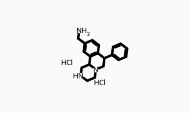 Cl.Cl.NCc1ccc2c(c1)C1CNCCN1CC2c1ccccc1